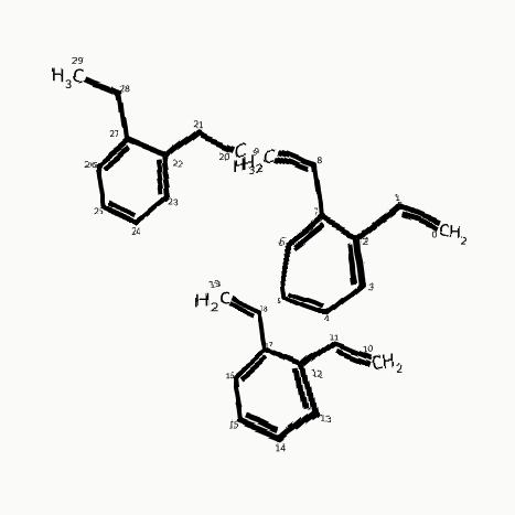 C=Cc1ccccc1C=C.C=Cc1ccccc1C=C.CCc1ccccc1CC